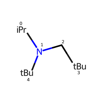 CC(C)N(CC(C)(C)C)C(C)(C)C